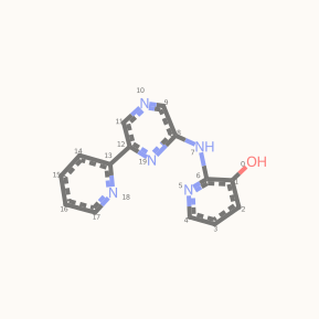 Oc1cccnc1Nc1cncc(-c2ccccn2)n1